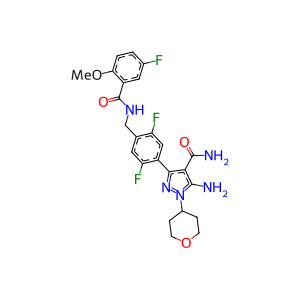 COc1ccc(F)cc1C(=O)NCc1cc(F)c(-c2nn(C3CCOCC3)c(N)c2C(N)=O)cc1F